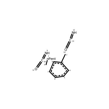 CCCCCC.Cc1ccccc1.N=C=O.N=C=O